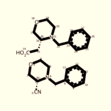 N#C[C@@H]1COCCN1Cc1ccccc1.O=C(O)C[C@@H]1COCCN1Cc1ccccc1